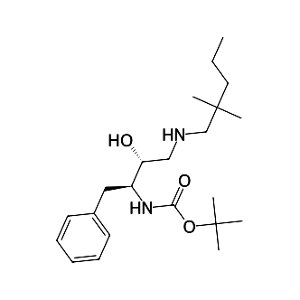 CCCC(C)(C)CNC[C@@H](O)[C@H](Cc1ccccc1)NC(=O)OC(C)(C)C